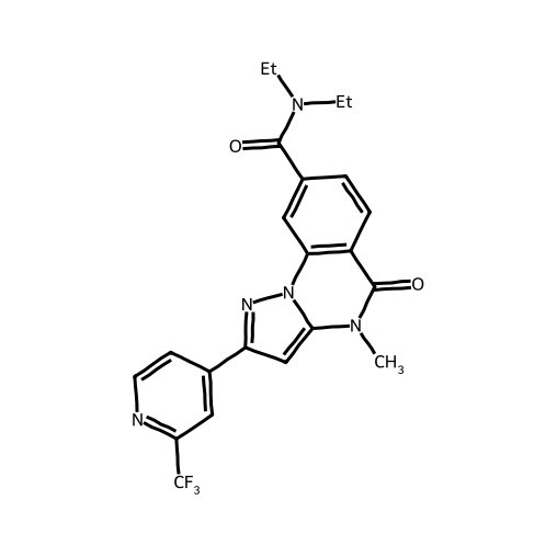 CCN(CC)C(=O)c1ccc2c(=O)n(C)c3cc(-c4ccnc(C(F)(F)F)c4)nn3c2c1